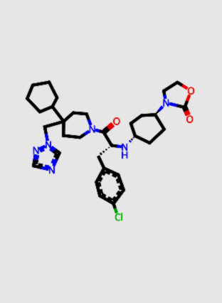 O=C([C@@H](Cc1ccc(Cl)cc1)N[C@H]1CC[C@H](N2CCOC2=O)CC1)N1CCC(Cn2cncn2)(C2CCCCC2)CC1